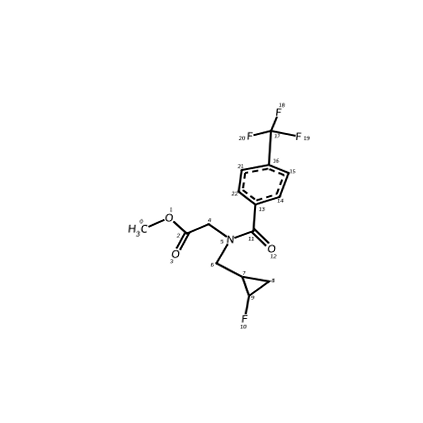 COC(=O)CN(CC1CC1F)C(=O)c1ccc(C(F)(F)F)cc1